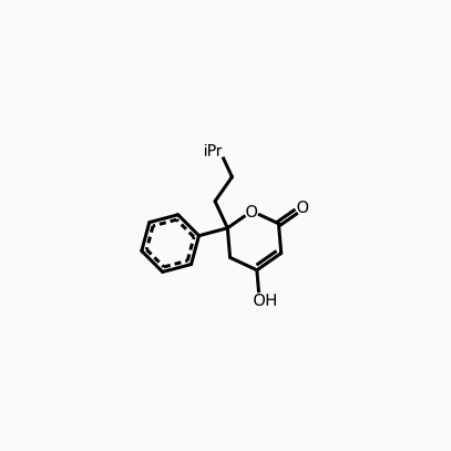 CC(C)CCC1(c2ccccc2)CC(O)=CC(=O)O1